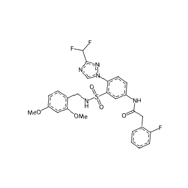 COc1ccc(CNS(=O)(=O)c2cc(NC(=O)Cc3ccccc3F)ccc2-n2cnc(C(F)F)n2)c(OC)c1